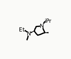 CCN(C)[C@@H]1C[C@H](C)N(C(C)C)C1